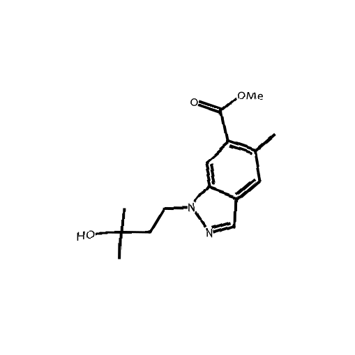 COC(=O)c1cc2c(cnn2CCC(C)(C)O)cc1C